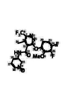 COc1c(Oc2nnc(C(F)(F)F)c(C)c2C(=O)NC2=CC=C[N+](=O)C2)ccc(F)c1F